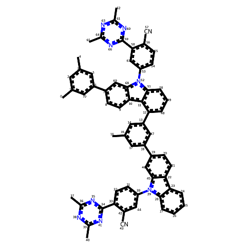 Cc1cc(C)cc(-c2ccc3c4c(-c5cc(C)cc(-c6ccc7c8ccccc8n(-c8ccc(-c9nc(C)nc(C)n9)c(C#N)c8)c7c6)c5)cccc4n(-c4ccc(C#N)c(-c5nc(C)nc(C)n5)c4)c3c2)c1